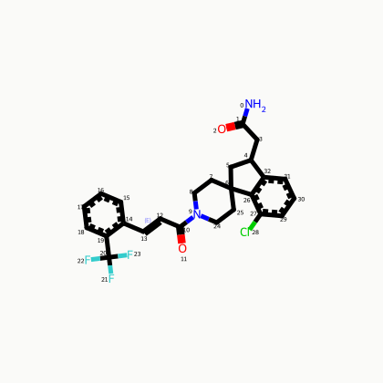 NC(=O)CC1CC2(CCN(C(=O)/C=C/c3ccccc3C(F)(F)F)CC2)c2c(Cl)cccc21